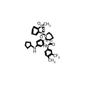 Cc1ccc(NC(=O)[C@H]2CCCN(S(=O)(=O)c3ccccc3S(C)(=O)=O)[C@H]2c2ccc(NC3CCCC3)cc2)cc1C(F)(F)F